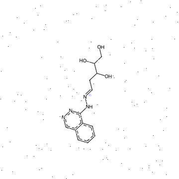 OCC(O)C(O)C/C=N/Nc1nncc2ccccc12